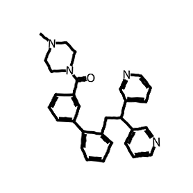 CN1CCN(C(=O)c2cccc(-c3ccccc3CC(c3cccnc3)c3cccnc3)c2)CC1